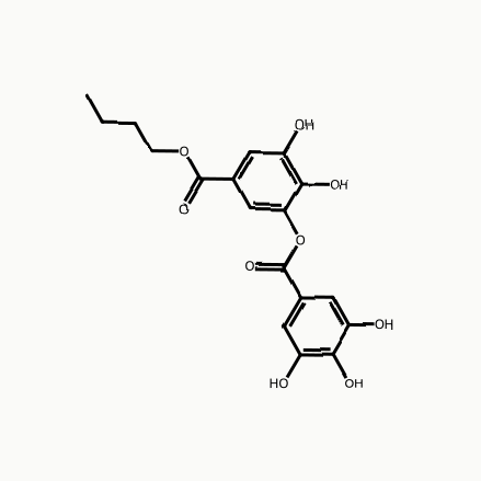 CCCCOC(=O)c1cc(O)c(O)c(OC(=O)c2cc(O)c(O)c(O)c2)c1